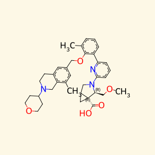 COC[C@@H]1N(c2cccc(-c3cccc(C)c3OCc3cc(C)c4c(c3)CCN(C3CCOCC3)C4)n2)CC2C[C@@]21C(=O)O